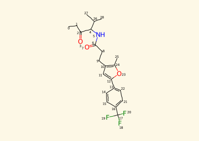 CCC(=O)C(NC(=O)CCc1cc(-c2ccc(C(F)(F)F)cc2)oc1C)C(C)C